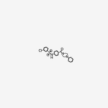 O=C(c1ccc(NS(=O)(=O)c2cccc(Cl)c2)cc1)N1CCN(c2ccccc2)CC1